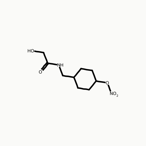 O=C(CO)NCC1CCC(O[N+](=O)[O-])CC1